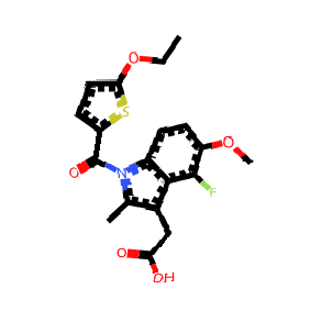 CCOc1ccc(C(=O)n2c(C)c(CC(=O)O)c3c(F)c(OC)ccc32)s1